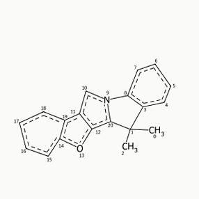 CC1(C)c2ccccc2-n2cc3c(oc4ccccc43)c21